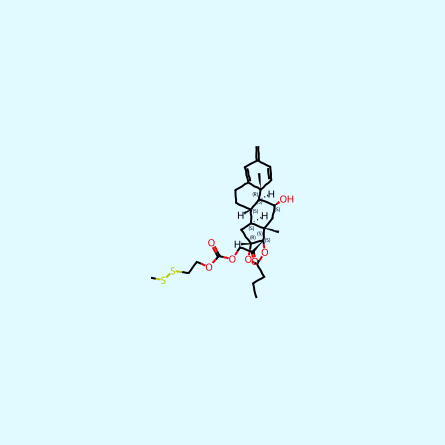 C=C1C=C[C@@]2(C)C(=C1)CC[C@@H]1[C@@H]2[C@@H](O)C[C@@]2(C)[C@H]1C[C@H]1OC(CCC)O[C@]12C(=O)COC(=O)OCCSSC